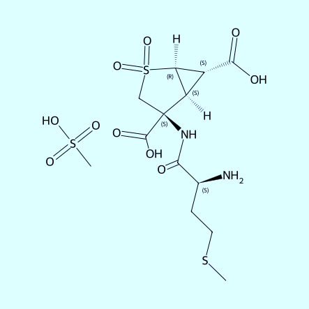 CS(=O)(=O)O.CSCC[C@H](N)C(=O)N[C@@]1(C(=O)O)CS(=O)(=O)[C@H]2[C@H](C(=O)O)[C@H]21